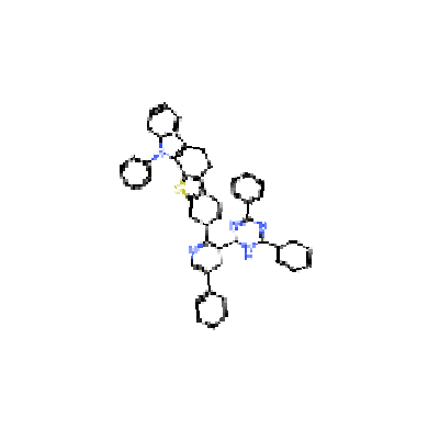 C1#CCC2C(=C1)C1=C(c3sc4c(c3CC1)C=CC(C1=NC=C(C3=CCCC=C3)CC1C1N=C(c3ccccc3)N=C(C3C=CC=CC3)N1)C4)N2c1ccccc1